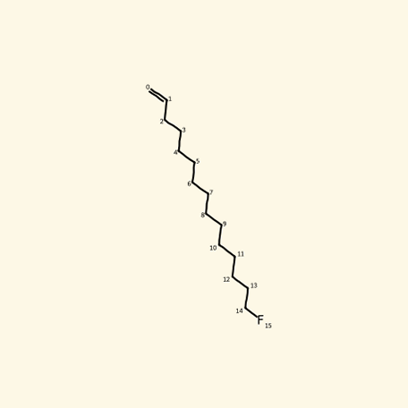 C=CCCCCCCCCCCCCCF